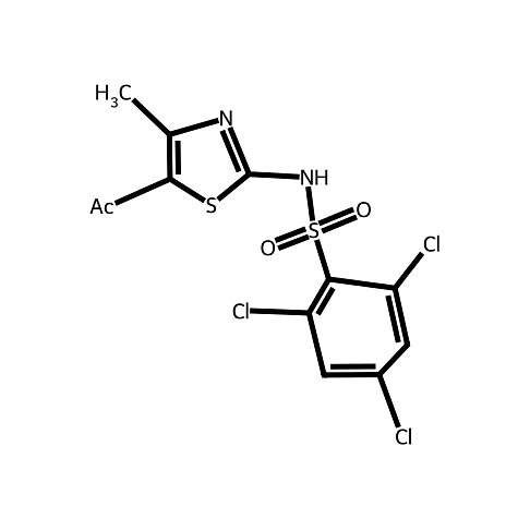 CC(=O)c1sc(NS(=O)(=O)c2c(Cl)cc(Cl)cc2Cl)nc1C